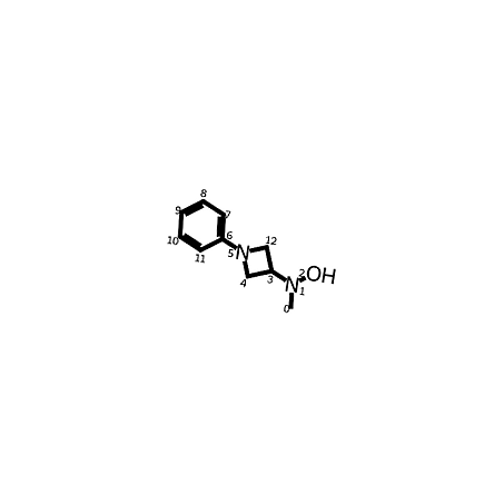 CN(O)C1CN(c2ccccc2)C1